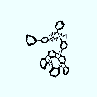 C1=CC2C3c4c(ccc5c6ccccc6n(c45)-c4ccccc4-n4c3c1c1ccccc14)N2c1cccc(C2NC(c3ccccc3)NC(c3ccc(-c4ccccc4)cc3)N2)c1